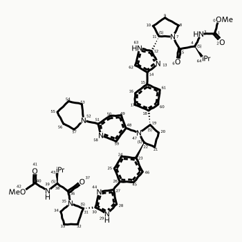 COC(=O)N[C@H](C(=O)N1CCC[C@H]1c1nc(-c2ccc([C@@H]3CC[C@@H](c4ccc(-c5c[nH]c([C@@H]6CCCN6C(=O)[C@@H](NC(=O)OC)C(C)C)n5)cc4)N3c3ccc(N4CCCCC4)nc3)cc2)c[nH]1)C(C)C